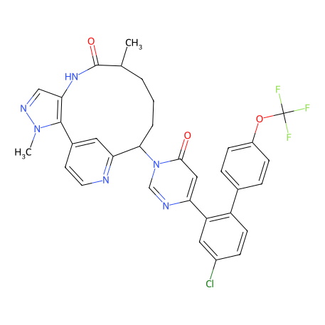 CC1CCCC(n2cnc(-c3cc(Cl)ccc3-c3ccc(OC(F)(F)F)cc3)cc2=O)c2cc(ccn2)-c2c(cnn2C)NC1=O